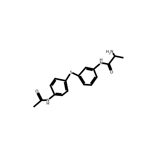 CC(=O)Nc1ccc(Sc2cccc(NC(=O)C(C)N)c2)cc1